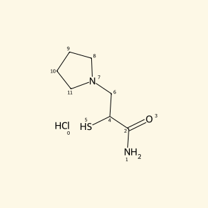 Cl.NC(=O)C(S)CN1CCCC1